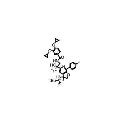 CC1(N[S+]([O-])C(C)(C)C)COc2c1cc(C(O)(CNC(=O)c1ccc(OC3CC3)c(OC3CC3)c1)C(F)(F)F)nc2-c1ccc(F)cc1